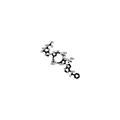 CC(C)C(=O)Nc1nc2c(ncn2[C@@H]2O[C@@H]3COP(O)(=S)O[C@@H]4C(O[Si](C)(C)C(C)(C)C)[C@H](n5ccc6c(NC(=O)c7ccccc7)ncnc65)O[C@@H]4COP(O)(=S)OC2C3)c(=O)[nH]1